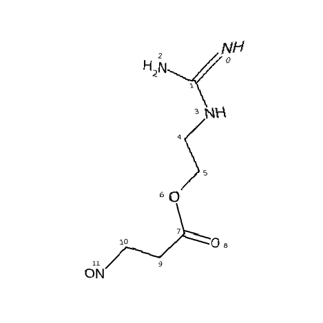 N=C(N)NCCOC(=O)CCN=O